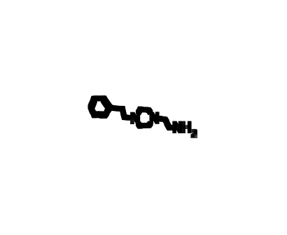 NCCN1CCN(CCc2ccccc2)CC1